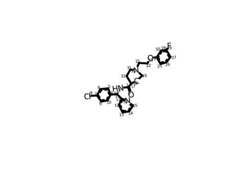 O=C(N[C@@H](c1ccc(Cl)cc1)c1ccccn1)C1CCN(CCOc2cccc(F)c2)CC1